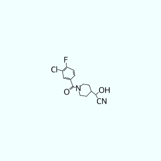 N#CC(O)C1CCN(C(=O)c2ccc(F)c(Cl)c2)CC1